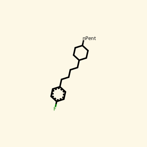 CCCCCC1CCC(CCCCc2ccc(F)cc2)CC1